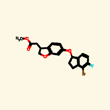 COC(=O)CC1COc2cc(O[C@@H]3CCc4c3ccc(F)c4Br)ccc21